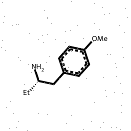 CC[C@H](N)Cc1ccc(OC)cc1